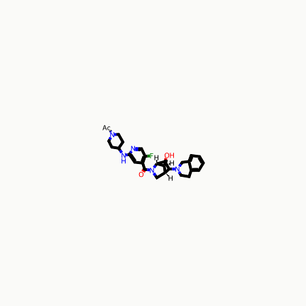 CC(=O)N1CCC(Nc2cc(C(=O)N3C[C@@H]4C(N5CCc6ccccc6C5)C(O)[C@H]3[C@H]4C)c(F)cn2)CC1